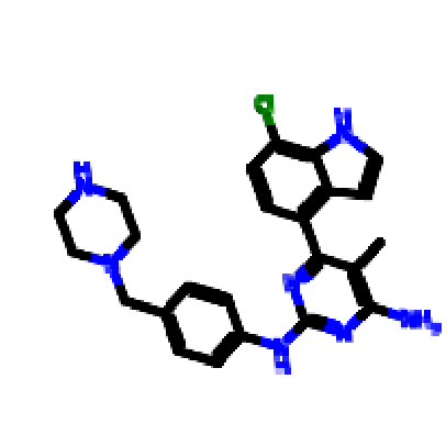 Cc1c(N)nc(Nc2ccc(CN3CCNCC3)cc2)nc1-c1ccc(Cl)c2[nH]ccc12